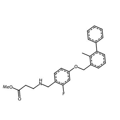 COC(=O)CCNCc1ccc(OCc2cccc(-c3ccccc3)c2C)cc1F